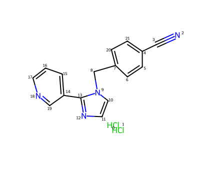 Cl.Cl.N#Cc1ccc(Cn2ccnc2-c2cccnc2)cc1